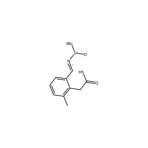 Cc1cccc(/C=N/[S+]([O-])C(C)(C)C)c1CC(=O)S